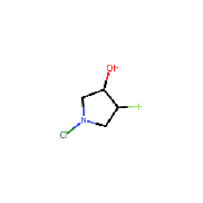 OC1CN(Cl)CC1F